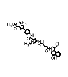 COC(=O)c1cc(-c2ccc(NC(=O)c3cc(NC(=O)CCCC(=O)N4C[C@@H](CCl)c5c4cc(O)c4ccccc54)cn3C)cc2)cn1C